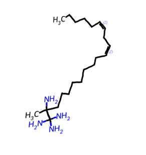 CCCCC/C=C\C/C=C\CCCCCCCCC(C)(N)C(N)(N)N